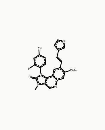 COc1cc2ncc3c(c2cc1C=Cc1ccsc1)n(-c1ccc(C#N)cc1F)c(=O)n3C